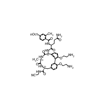 CCCCCCCCc1ccc(C(=O)NC(CCC(N)=O)C(=O)N[C@@H]2C(=O)N[C@@H](C)C(=O)N[C@H](C(=O)NCC#N)Cc3ccc(OCCN)c(c3)-c3cc2ccc3OCCN)c(C)c1